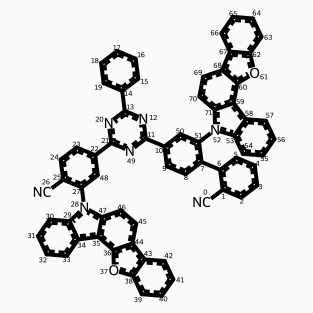 N#Cc1ccccc1-c1ccc(-c2nc(-c3ccccc3)nc(-c3ccc(C#N)c(-n4c5ccccc5c5c6oc7ccccc7c6ccc54)c3)n2)cc1-n1c2ccccc2c2c3oc4ccccc4c3ccc21